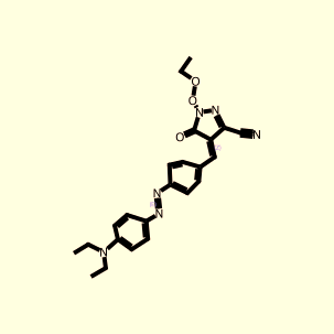 CCOON1N=C(C#N)/C(=C/c2ccc(/N=N/c3ccc(N(CC)CC)cc3)cc2)C1=O